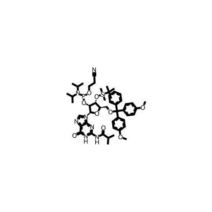 COc1ccc(C(OC[C@H]2O[C@@H](n3cnc4c(=O)[nH]c(NC(=O)C(C)C)nc43)[C@@H](OP(OCCC#N)N(C(C)C)C(C)C)[C@@H]2O[Si](C)(C)C(C)(C)C)(c2ccccc2)c2ccc(OC)cc2)cc1